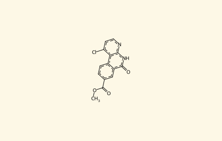 COC(=O)c1ccc2c(c1)c(=O)[nH]c1nccc(Cl)c12